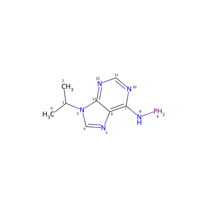 CC(C)n1cnc2c(NP)ncnc21